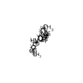 CCS(=O)(=O)c1ccc(CC(=O)Nc2ccc(C(N3CCCC(C)C3)(C(F)(F)F)C(F)(F)F)cc2)cc1